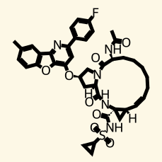 CC(=O)N[C@H]1CCCCC/C=C\[C@@H]2C[C@@]2(C(=O)NS(=O)(=O)C2CC2)NC(=O)[C@@H]2C[C@@H](Oc3cc(-c4ccc(F)cc4)nc4c3oc3ccc(C)cc34)CN2C1=O